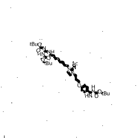 CC(=O)/N=c1\n(CCCCCCCCN/C(=N/C(=O)OC(C)(C)C)NC(=O)OC(C)(C)C)ccn1CCCOc1ccc(C(=N)NC(=O)OC(C)(C)C)cc1